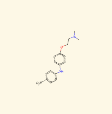 CN(C)CCOc1ccc(Nc2ccc([N+](=O)[O-])cc2)cc1